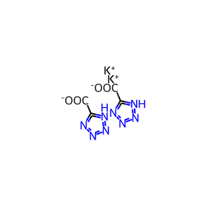 O=C([O-])c1nnn[nH]1.O=C([O-])c1nnn[nH]1.[K+].[K+]